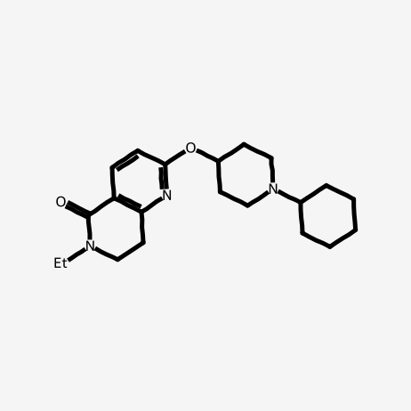 CCN1CCc2nc(OC3CCN(C4CCCCC4)CC3)ccc2C1=O